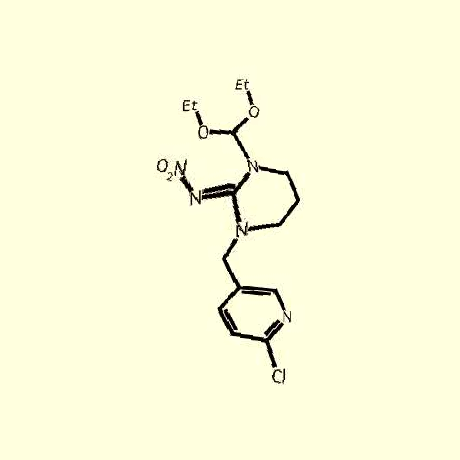 CCOC(OCC)N1CCCN(Cc2ccc(Cl)nc2)C1=N[N+](=O)[O-]